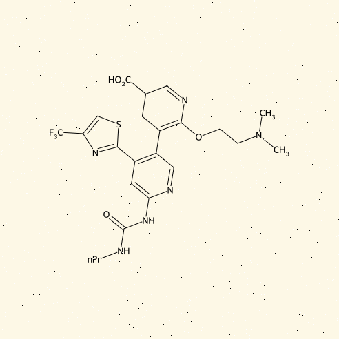 CCCNC(=O)Nc1cc(-c2nc(C(F)(F)F)cs2)c(C2=C(OCCN(C)C)N=CC(C(=O)O)C2)cn1